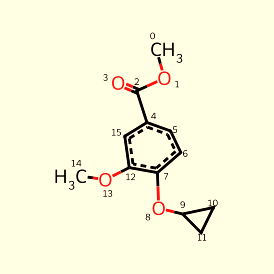 COC(=O)c1ccc(OC2CC2)c(OC)c1